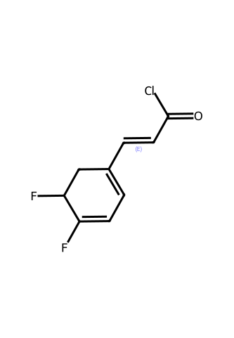 O=C(Cl)/C=C/C1=CC=C(F)C(F)C1